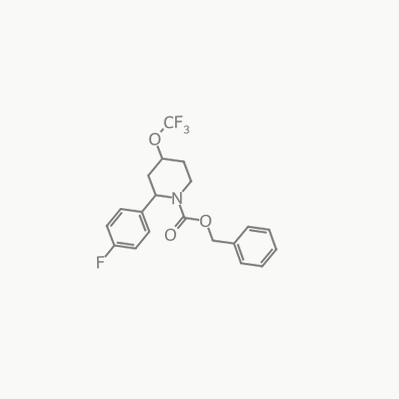 O=C(OCc1ccccc1)N1CCC(OC(F)(F)F)CC1c1ccc(F)cc1